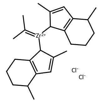 CC1=CC2=C(CCCC2C)[CH]1[Zr+2](=[C](C)C)[CH]1C(C)=CC2=C1CCCC2C.[Cl-].[Cl-]